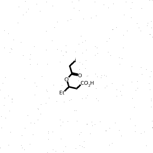 CCC(CC(=O)O)OC(=O)CI